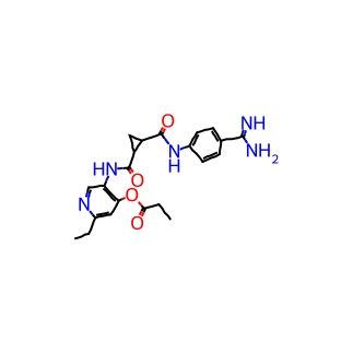 CCC(=O)Oc1cc(CC)ncc1NC(=O)C1CC1C(=O)Nc1ccc(C(=N)N)cc1